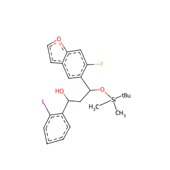 CC(C)(C)[Si](C)(C)OC(CC(O)c1ccccc1I)c1cc2ccoc2cc1F